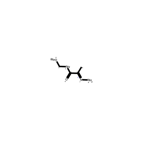 COCNC(=O)/C(C)=N/N